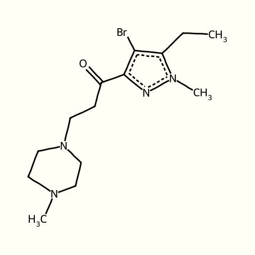 CCc1c(Br)c(C(=O)CCN2CCN(C)CC2)nn1C